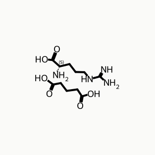 N=C(N)NCCC[C@H](N)C(=O)O.O=C(O)CCCC(=O)O